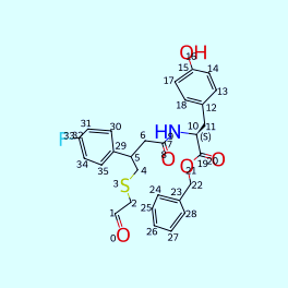 O=CCSCC(CC(=O)N[C@@H](Cc1ccc(O)cc1)C(=O)OCc1ccccc1)c1ccc(F)cc1